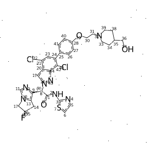 O=C(Nc1nccs1)[C@@H](c1ncn2c1C[C@@H](F)C2)n1cc2c(Cl)cc(-c3ccc(OCCN4CCC(CO)CC4)cc3)c(Cl)c2n1